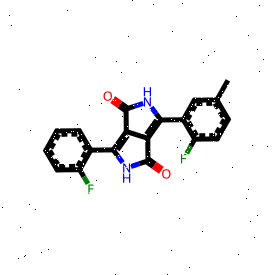 Cc1ccc(F)c(C2=C3C(=O)NC(c4ccccc4F)=C3C(=O)N2)c1